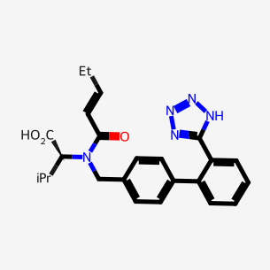 CC/C=C/C(=O)N(Cc1ccc(-c2ccccc2-c2nnn[nH]2)cc1)[C@H](C(=O)O)C(C)C